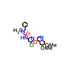 COc1cc2nccc(Oc3ncc(NC(=O)CN(C)Cc4ccccc4)cc3Cl)c2cc1OC